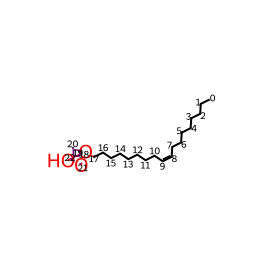 CCCCCCCC/C=C\CCCCCCCCOP(C)(=O)O